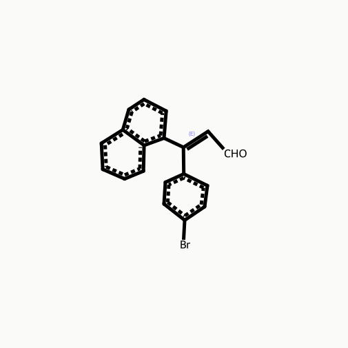 O=C/C=C(\c1ccc(Br)cc1)c1cccc2ccccc12